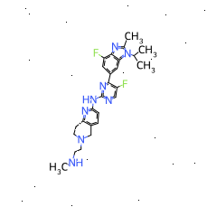 CNCCN1CCc2nc(Nc3ncc(F)c(-c4cc(F)c5nc(C)n(C(C)C)c5c4)n3)ccc2C1